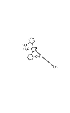 C#CC#CC#CC#Cn1nc(-c2ccccc2C)c(C)c1-c1ccccc1O